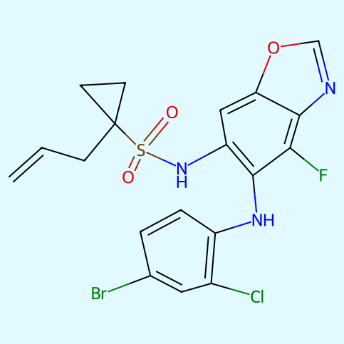 C=CCC1(S(=O)(=O)Nc2cc3ocnc3c(F)c2Nc2ccc(Br)cc2Cl)CC1